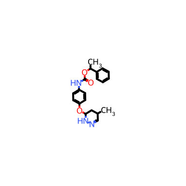 CC1C=NNC(Oc2ccc(NC(=O)OC(C)c3ccccc3)cc2)C1